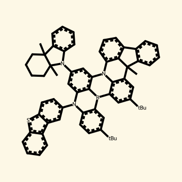 CC(C)(C)c1ccc2c(c1)B1c3cc(C(C)(C)C)cc4c3N(c3cc(N5c6ccccc6C6(C)CCCCC56C)cc(c31)N2c1ccc2sc3ccccc3c2c1)c1cccc2c1C4(C)c1ccccc1-2